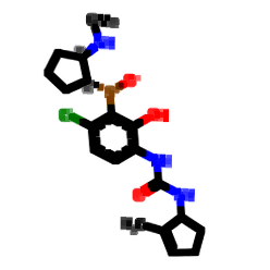 CON[C@@H]1CCC[C@H]1[S+]([O-])c1c(Cl)ccc(NC(=O)NC2CCC=C2C)c1O